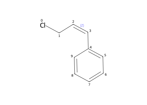 ClC/C=C\c1ccccc1